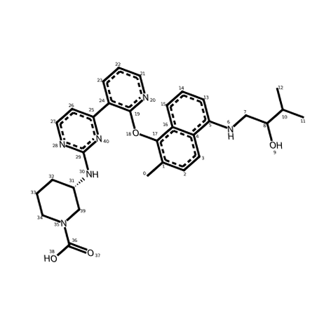 Cc1ccc2c(NCC(O)C(C)C)cccc2c1Oc1ncccc1-c1ccnc(N[C@H]2CCCN(C(=O)O)C2)n1